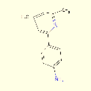 Cc1cc(C)nc(-c2ccc(N)cc2)c1